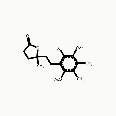 CC(=O)Oc1c(C)c(C)c(OC(C)=O)c(CCC2(C)CCC(=O)O2)c1C